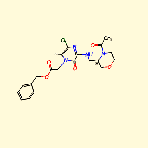 Cc1c(Cl)nc(NC[C@@H]2COCCN2C(=O)C(F)(F)F)c(=O)n1CC(=O)OCc1ccccc1